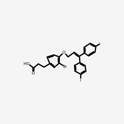 O=C(O)CCc1ccc(OCC=C(c2ccc(I)cc2)c2ccc(I)cc2)c(Br)c1